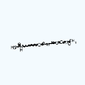 CC(=O)COCCOCCOCCOCCOCCOCCOCCCCCCCCCCCNC(=O)CCS